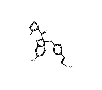 Cc1ccsc1C(=O)c1sc2cc(O)ccc2c1Oc1ccc(C=CC(=O)O)cc1